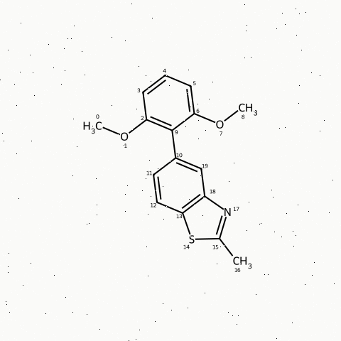 COc1cccc(OC)c1-c1ccc2sc(C)nc2c1